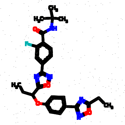 CCc1nc(-c2ccc(OC(CC)c3nc(-c4ccc(C(=O)NC(C)(C)C)c(F)c4)no3)cc2)no1